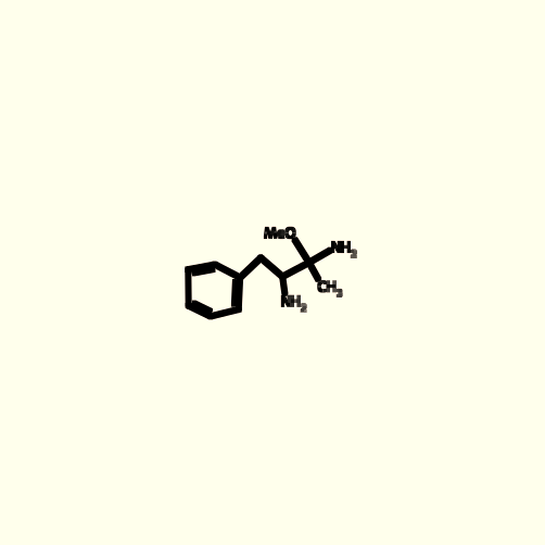 COC(C)(N)C(N)Cc1ccccc1